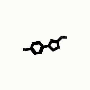 CNC1=NC(c2ccc(Br)cc2)CO1